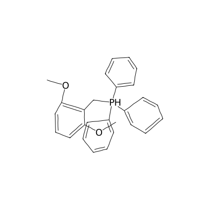 COc1cccc(OC)c1C[PH](c1ccccc1)(c1ccccc1)c1ccccc1